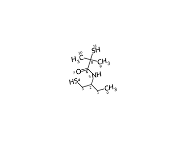 CCC(CS)NC(=O)C(C)(C)S